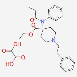 CCOC(=O)C1(N(C(=O)CC)c2ccccc2)CCN(CCc2ccccc2)CC1.O=C(O)C(=O)O